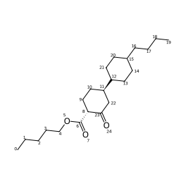 CCCCCOC(=O)[C@@H]1CC[C@@H](C2CCC(CCCC)CC2)CC1=O